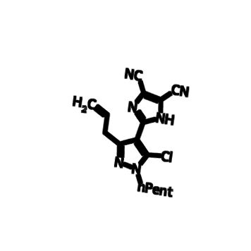 C=CCc1nn(CCCCC)c(Cl)c1-c1nc(C#N)c(C#N)[nH]1